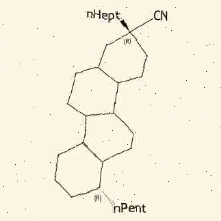 CCCCCCC[C@@]1(C#N)CCC2C(CCC3C2CCC2C3CCC[C@H]2CCCCC)C1